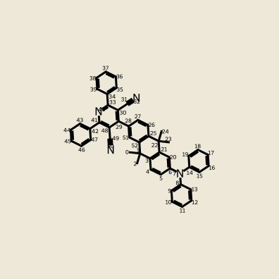 CC1(C)c2ccc(N(c3ccccc3)c3ccccc3)cc2C(C)(C)c2ccc(-c3c(C#N)c(-c4ccccc4)nc(-c4ccccc4)c3C#N)cc21